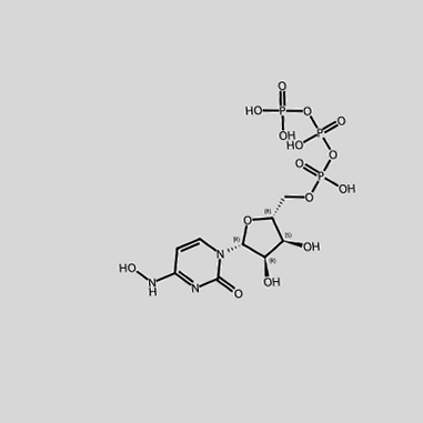 O=c1nc(NO)ccn1[C@@H]1O[C@H](COP(=O)(O)OP(=O)(O)OP(=O)(O)O)[C@@H](O)[C@H]1O